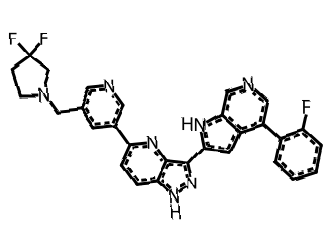 Fc1ccccc1-c1cncc2[nH]c(-c3n[nH]c4ccc(-c5cncc(CN6CCC(F)(F)C6)c5)nc34)cc12